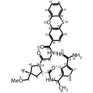 COC[C@@]1(F)C[C@@H](C(=O)NC(C)c2cc(C(=N)N)cs2)N(C(=O)CNC(=O)c2ccc3c(c2)Oc2ccccc2S3)C1